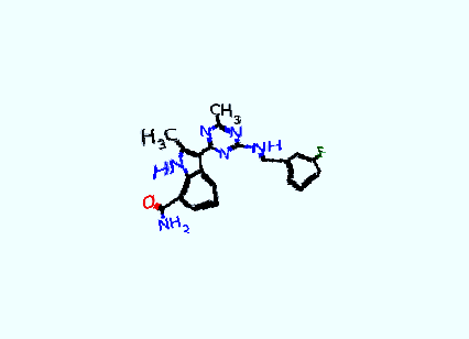 Cc1nc(NCc2cccc(F)c2)nc(-c2c(C)[nH]c3c(C(N)=O)cccc23)n1